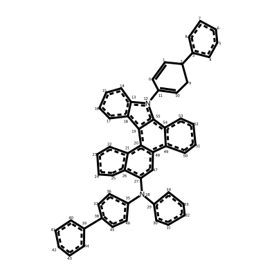 C1=CC(c2ccccc2)CC=C1n1c2ccccc2c2c3c4ccccc4c(N(c4ccccc4)c4ccc(-c5ccccc5)cc4)cc3c3ccccc3c21